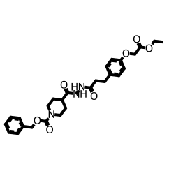 CCOC(=O)COc1ccc(CCC(=O)NNC(=O)C2CCN(C(=O)OCc3ccccc3)CC2)cc1